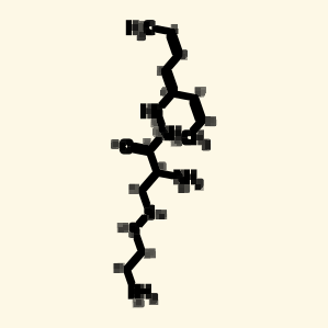 C\C=C/C=C(BNC(=O)C(N)CSSCCN)\C=C/C